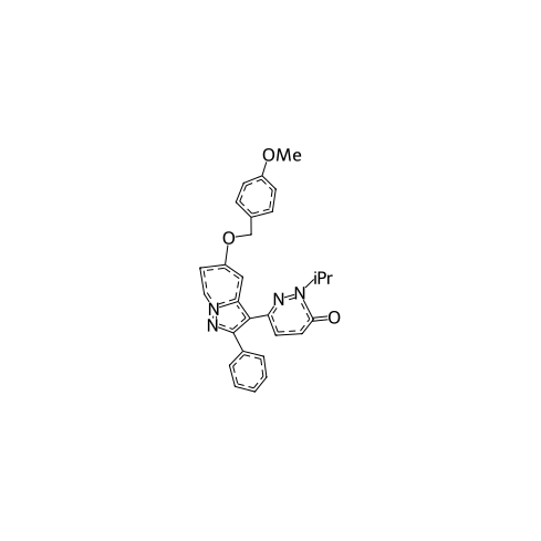 COc1ccc(COc2ccn3nc(-c4ccccc4)c(-c4ccc(=O)n(C(C)C)n4)c3c2)cc1